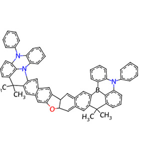 CC1(C)c2cc3c(cc2B2c4ccccc4N(c4ccccc4)c4cccc1c42)=CC1c2cc4cc5c(cc4cc2OC1C=3)C(C)(C)c1cccc2c1N5c1ccccc1N2c1ccccc1